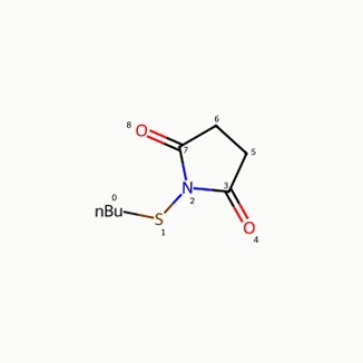 CCCCSN1C(=O)CCC1=O